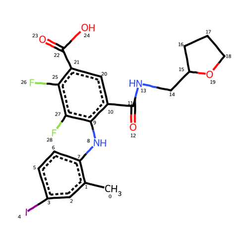 Cc1cc(I)ccc1Nc1c(C(=O)NCC2CCCO2)cc(C(=O)O)c(F)c1F